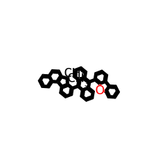 CC1(C)c2ccc3ccccc3c2-c2cccc(-c3c4ccccc4c(-c4cccc5c4oc4ccccc45)c4ccccc34)c21